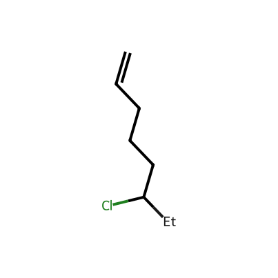 C=CCCCC(Cl)CC